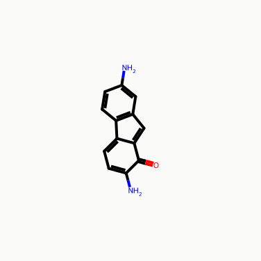 NC1=CC=C2C(=Cc3cc(N)ccc32)C1=O